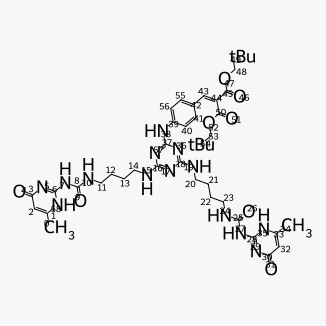 Cc1cc(=O)nc(NC(=O)NCCCCNc2nc(NCCCCNC(=O)Nc3nc(=O)cc(C)[nH]3)nc(Nc3ccc(C=C(C(=O)OCC(C)(C)C)C(=O)OCC(C)(C)C)cc3)n2)[nH]1